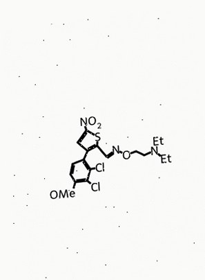 CCN(CC)CCON=Cc1sc([N+](=O)[O-])cc1-c1ccc(OC)c(Cl)c1Cl